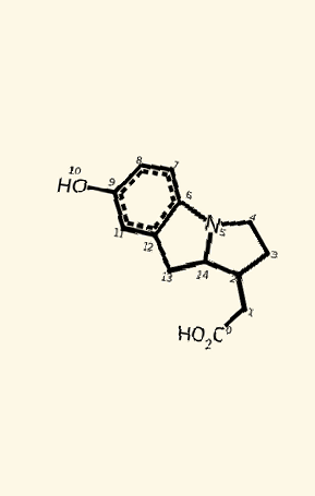 O=C(O)CC1CCN2c3ccc(O)cc3CC12